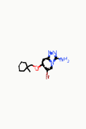 CC1(COc2cc3nnc(N)n3cc2Br)CCCCC1